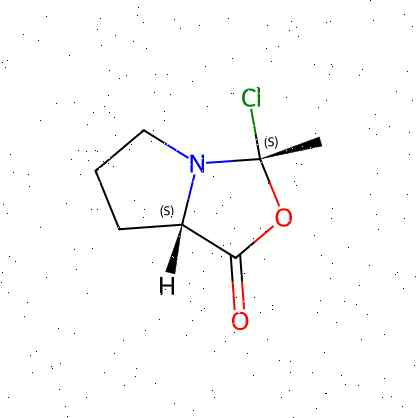 C[C@@]1(Cl)OC(=O)[C@@H]2CCCN21